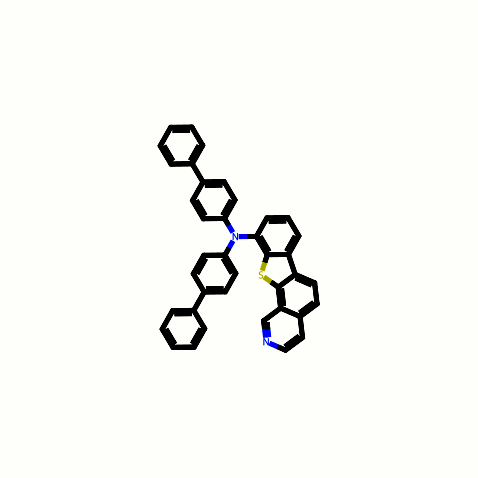 c1ccc(-c2ccc(N(c3ccc(-c4ccccc4)cc3)c3cccc4c3sc3c5cnccc5ccc43)cc2)cc1